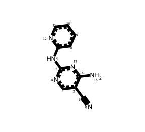 N#Cc1cnc(Nc2ccccn2)nc1N